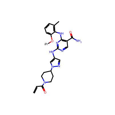 C=CC(=O)N1CCC(n2cc(Nc3ncc(C(N)=O)c(Nc4c(C)cccc4OC(C)C)n3)cn2)CC1